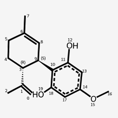 C=C(C)[C@@H]1CCC(C)=C[C@H]1c1c(O)cc(OC)cc1O